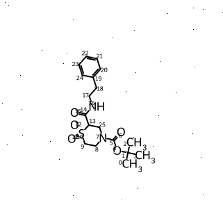 CC(C)(C)OC(=O)N1CCS(=O)(=O)C(C(=O)NCCc2ccccc2)C1